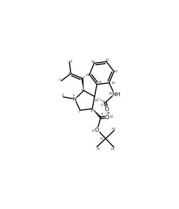 CC(C)=C[C@@H]1N(C)C[C@H](C(=O)OC(C)(C)C)[C@@]12C(=O)Nc1ccccc12